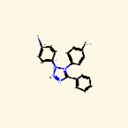 O=[N+]([O-])c1ccc(-[n+]2c(-c3ccccc3)nnn2-c2ccc(I)cc2)cc1